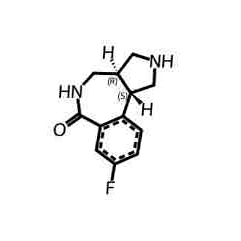 O=C1NC[C@H]2CNC[C@@H]2c2ccc(F)cc21